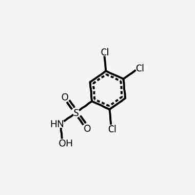 O=S(=O)(NO)c1cc(Cl)c(Cl)cc1Cl